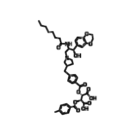 CCCCCCCC(=O)NC(CN1CCC(Cc2ccc(C(=O)O[C@H](C(=O)O)[C@H](OC(=O)c3ccc(C)cc3)C(=O)O)cc2)C1)[C@H](O)c1ccc2c(c1)OCCO2